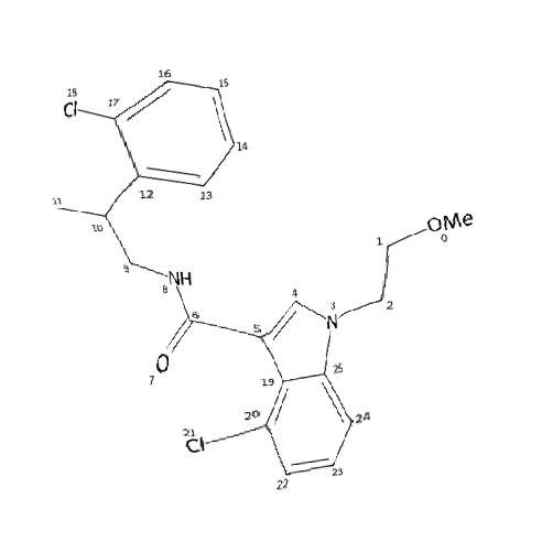 COCCn1cc(C(=O)NCC(C)c2ccccc2Cl)c2c(Cl)cccc21